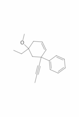 CC#CC1(c2ccccc2)C=CCC(CC)(OC)C1